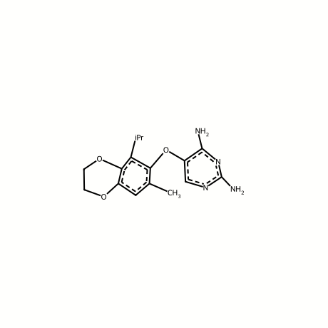 Cc1cc2c(c(C(C)C)c1Oc1cnc(N)nc1N)OCCO2